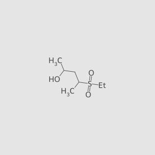 CCS(=O)(=O)C(C)CC(C)O